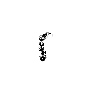 Cc1cc(=O)n(CC(=O)N2CCC(c3nc(C4=NO[C@H](c5c(F)cccc5F)C4)cs3)CC2)o1